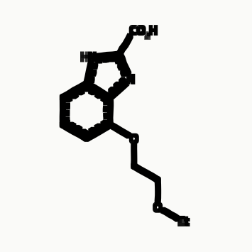 CCOCCOc1cccc2[nH]c(C(=O)O)nc12